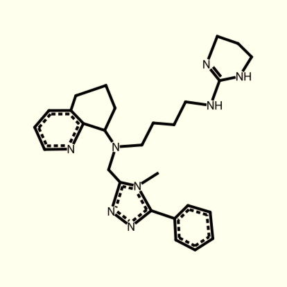 Cn1c(CN(CCCCNC2=NCCCN2)C2CCCc3cccnc32)nnc1-c1ccccc1